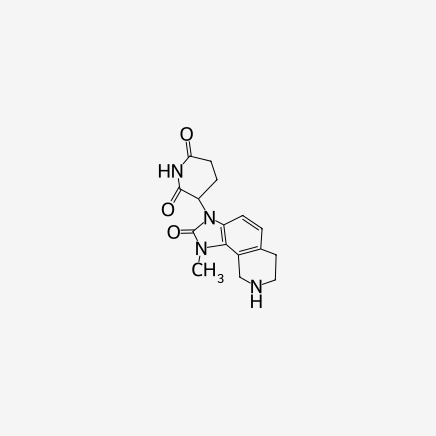 Cn1c(=O)n(C2CCC(=O)NC2=O)c2ccc3c(c21)CNCC3